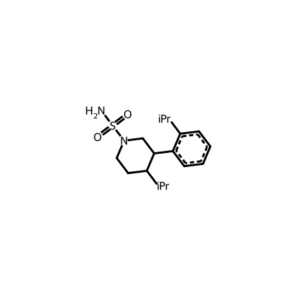 CC(C)c1ccccc1C1CN(S(N)(=O)=O)CCC1C(C)C